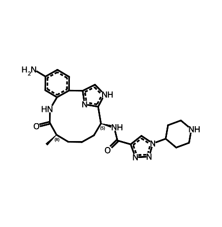 C[C@@H]1CCC[C@H](NC(=O)c2cn(C3CCNCC3)nn2)c2nc(c[nH]2)-c2ccc(N)cc2NC1=O